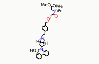 CCCN(CC(OC)OC)C(=O)CCOCCc1ccc(CCN2C[C@H]3CC(N(C(=O)O)c4ccccc4-c4ccccc4)C[C@H]3C2)cc1